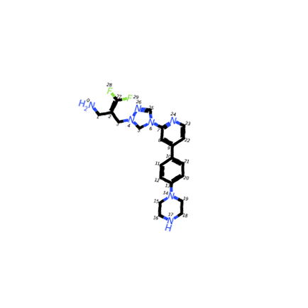 NCC(CN1CN(c2cc(-c3ccc(N4CCNCC4)cc3)ccn2)C=N1)=C(F)F